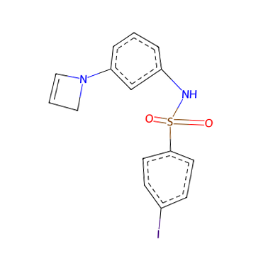 O=S(=O)(Nc1cccc(N2C=CC2)c1)c1ccc(I)cc1